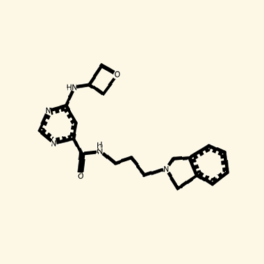 O=C(NCCCN1Cc2ccccc2C1)c1cc(NC2COC2)ncn1